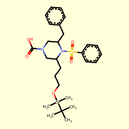 CC(C)(C)[Si](C)(C)OCCCC1CN(C(=O)O)CC(Cc2ccccc2)N1S(=O)(=O)c1ccccc1